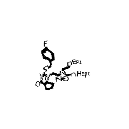 CCCC/C=C/N1C(Cn2c(SCc3ccc(F)cc3)nc(=O)c3c2CCC3)=NOC1CCCCCCC